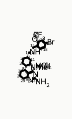 CNc1nc(N)nc2c1C([C@H]1CC[C@@H](CNCc3ccc(Br)cc3OC(F)(F)F)CC1)CCC2.Cl.Cl